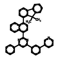 CC1(C)c2ccccc2-c2cccc(-c3ccc(-c4nc(-c5ccccc5)cc(-c5cccc(-c6cccnc6)c5)n4)c4ccccc34)c21